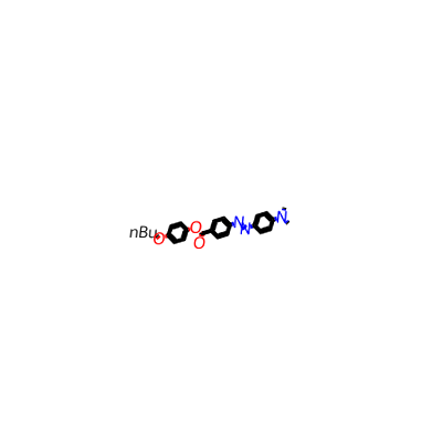 CCCCOc1ccc(OC(=O)c2ccc(N=Nc3ccc(N(C)C)cc3)cc2)cc1